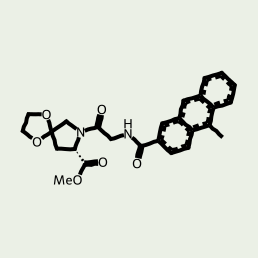 COC(=O)[C@@H]1CC2(CN1C(=O)CNC(=O)c1ccc3c(C)c4ccccc4cc3c1)OCCO2